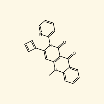 Cn1c2ccccc2c(=O)c2c(=O)n(-c3ccccn3)c(C3=CC=C3)cc21